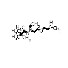 C=CN(CCOCCNC)/N=C(\C)C(C)(C)C